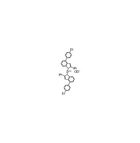 CCc1ccc(-c2cccc3c2C=C(C(C)C)[CH]3[Zr+2][CH]2C(C(C)C)=Cc3c(-c4ccc(CC)cc4)cccc32)cc1.[Cl-].[Cl-]